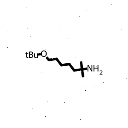 CC(C)(N)CCCCCOC(C)(C)C